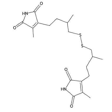 CC1=C(CCC(C)CSSCC(C)CCC2=C(C)C(=O)NC2=O)C(=O)NC1=O